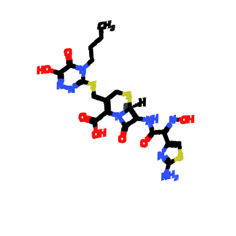 CCCCn1c(SCC2=C(C(=O)O)N3C(=O)C(NC(=O)C(=NO)c4csc(N)n4)[C@@H]3SC2)nnc(O)c1=O